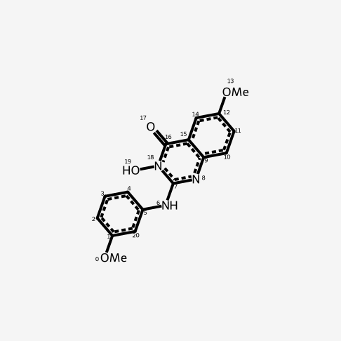 COc1cccc(Nc2nc3ccc(OC)cc3c(=O)n2O)c1